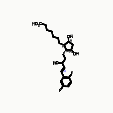 O=C(O)CCCCCC[C@@H]1[C@@H](CCC(O)/C=C/c2cc(F)ccc2F)[C@H](O)C[C@@H]1O